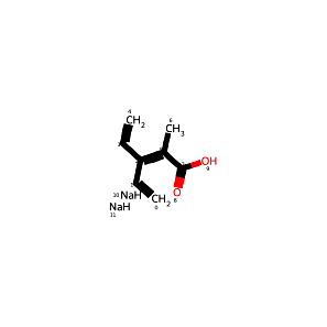 C=CC(C=C)=C(C)C(=O)O.[NaH].[NaH]